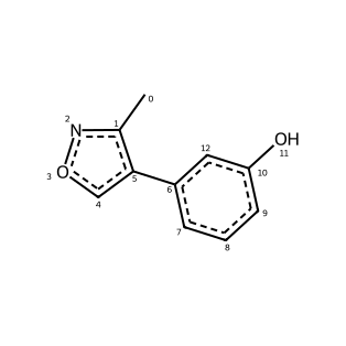 Cc1nocc1-c1cccc(O)c1